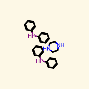 C1CNCCN1.c1ccc(Pc2ccccc2)cc1.c1ccc(Pc2ccccc2)cc1